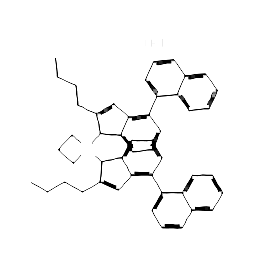 CCCCC1=Cc2c(-c3cccc4ccccc34)cccc2[CH]1[Hf]1([CH]2C(CCCC)=Cc3c(-c4cccc5ccccc45)cccc32)[CH2]C[CH2]1.Cl.Cl